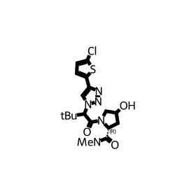 CNC(=O)[C@H]1CC(O)CN1C(=O)C(n1cc(-c2ccc(Cl)s2)nn1)C(C)(C)C